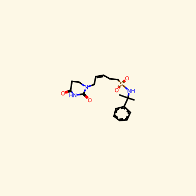 CC(C)(NS(=O)(=O)CC/C=C\CN1CCC(=O)NC1=O)c1ccccc1